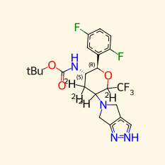 [2H]C1([2H])[C@H](NC(=O)OC(C)(C)C)[C@@H](c2cc(F)ccc2F)OC([2H])(C(F)(F)F)C1([2H])N1Cc2c[nH]nc2C1